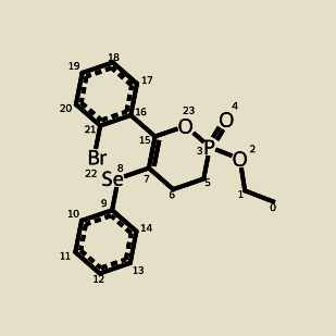 CCOP1(=O)CCC([Se]c2ccccc2)=C(c2ccccc2Br)O1